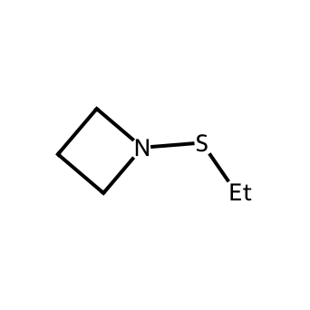 CCSN1CCC1